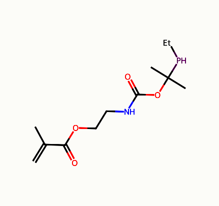 C=C(C)C(=O)OCCNC(=O)OC(C)(C)PCC